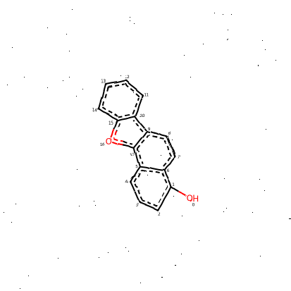 Oc1cccc2c1ccc1c3ccccc3oc21